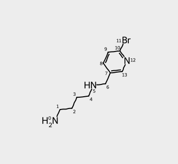 NCCCCNCc1ccc(Br)nc1